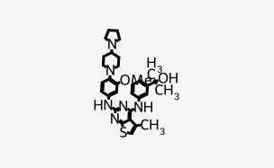 COc1cc(Nc2nc(Nc3cccc(C(C)(C)O)c3)c3c(C)csc3n2)ccc1N1CCC(N2CCCC2)CC1